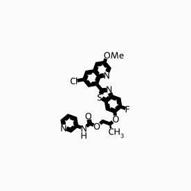 COc1cnc2c(-c3nc4cc(F)c(O[C@@H](C)COC(=O)Nc5cccnc5)cc4s3)cc(Cl)cc2c1